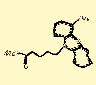 CNC(=O)CCCC[n+]1c2ccccc2nc2c(OC)cccc21